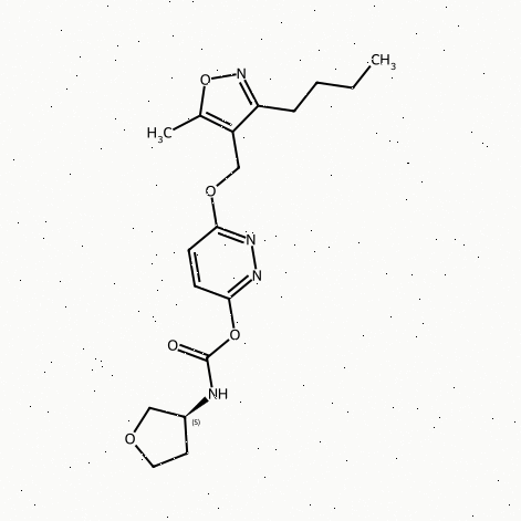 CCCCc1noc(C)c1COc1ccc(OC(=O)N[C@H]2CCOC2)nn1